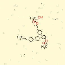 C=CCCC1CCC(C2CCC(c3cc(OC(=O)C=C)ccc3C3CCC(CCCOC(=O)C(=C)CO)CC3)CC2)CC1